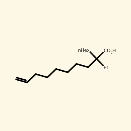 C=CCCCCCCC(CC)(CCCCCC)C(=O)O